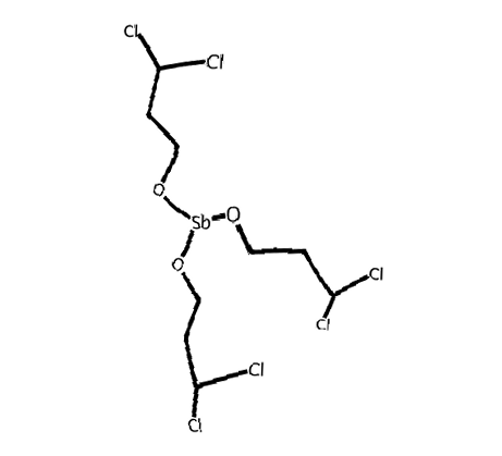 ClC(Cl)CC[O][Sb]([O]CCC(Cl)Cl)[O]CCC(Cl)Cl